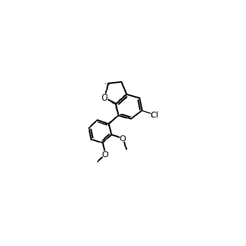 COc1cccc(-c2cc(Cl)cc3c2O[CH]C3)c1OC